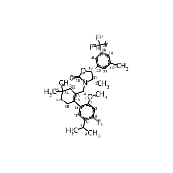 COc1cc(F)c(C(C)C)cc1C1=C(CN2C(=O)O[C@H](c3cc(C)cc(C(F)(F)F)c3)[C@@H]2C)CC(C)(C)CC1